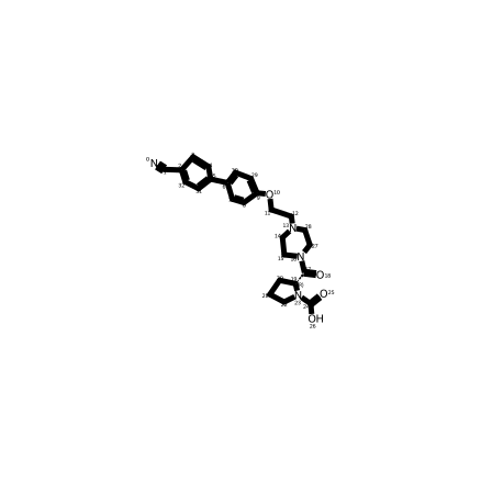 N#Cc1ccc(-c2ccc(OCCN3CCN(C(=O)[C@H]4CCCN4C(=O)O)CC3)cc2)cc1